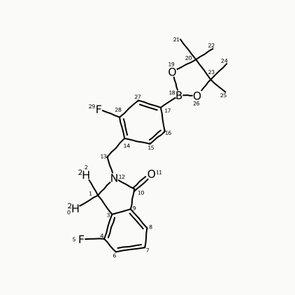 [2H]C1([2H])c2c(F)cccc2C(=O)N1Cc1ccc(B2OC(C)(C)C(C)(C)O2)cc1F